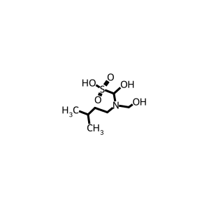 CC(C)CCN(CO)C(O)S(=O)(=O)O